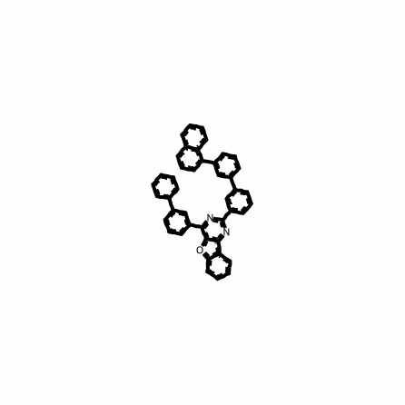 c1ccc(-c2cccc(-c3nc(-c4cccc(-c5cccc(-c6cccc7ccccc67)c5)c4)nc4c3oc3ccccc34)c2)cc1